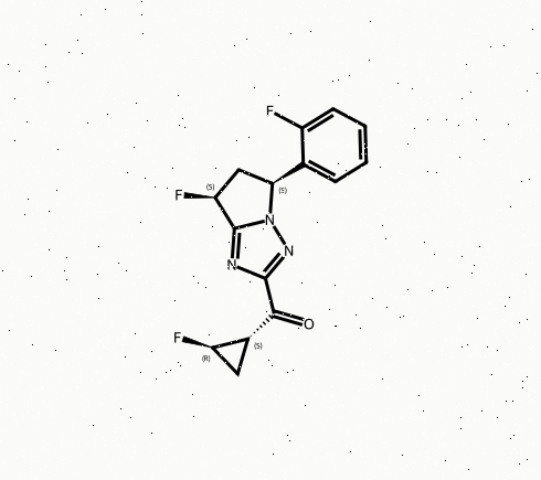 O=C(c1nc2n(n1)[C@H](c1ccccc1F)C[C@@H]2F)[C@@H]1C[C@H]1F